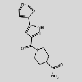 NC(=O)C1CCN(C(=O)c2cc(-c3ccncc3)[nH]n2)CC1